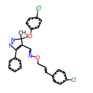 CC1(Oc2ccc(Cl)cc2)N=NC(c2ccccc2)=C1C=NOCC=Cc1ccc(Cl)cc1